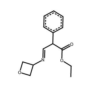 CCOC(=O)C(/C=N/C1COC1)c1ccccc1